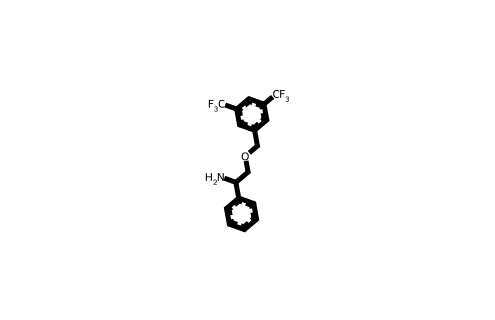 NC(COCc1cc(C(F)(F)F)cc(C(F)(F)F)c1)c1ccccc1